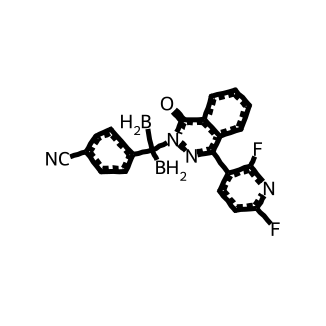 BC(B)(c1ccc(C#N)cc1)n1nc(-c2ccc(F)nc2F)c2ccccc2c1=O